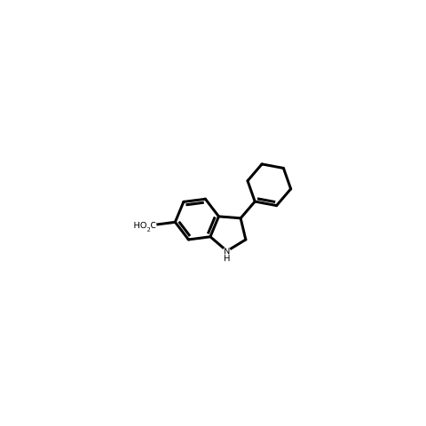 O=C(O)c1ccc2c(c1)NCC2C1=CCCCC1